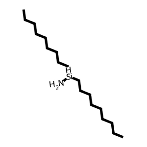 CCCCCCCCC[SiH](N)CCCCCCCCC